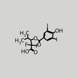 CC(C)C(OC(=O)c1cc(I)c(O)c(I)c1)C(F)(F)C(=O)O